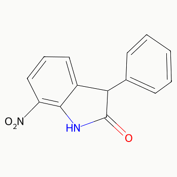 O=C1Nc2c(cccc2[N+](=O)[O-])C1c1ccccc1